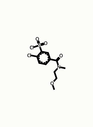 COCCN(C)C(=O)c1ccc(Cl)c(S(=O)(=O)Cl)c1